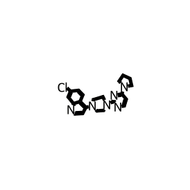 Clc1ccc2c(N3CCN(c4nccc(N5CCCC5)n4)CC3)ccnc2c1